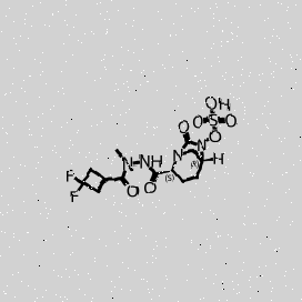 CN(NC(=O)[C@@H]1CC[C@@H]2CN1C(=O)N2OS(=O)(=O)O)C(=O)C1CC(F)(F)C1